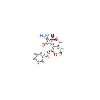 N[C@@H]1C(=O)N2C(C(=O)OCc3ccccc3)=C(CCl)CO[C@H]12